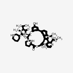 CCn1c(-c2cccnc2[C@H](C)OC)c2c3cc(ccc31)-c1cc(O)cc(c1)C[C@H](NC(=O)C(C(C)C)N(C)C(=O)[C@H]1CCCCNC1)C(=O)N1CCC[C@H](N1)C(=O)OCC(C)(C)C2